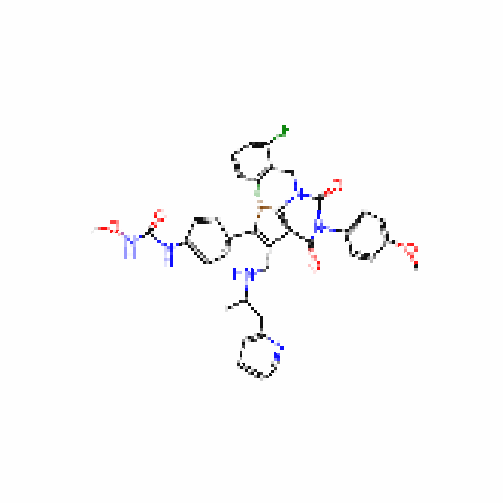 CONC(=O)Nc1ccc(-c2sc3c(c2CNC(C)Cc2ccccn2)c(=O)n(-c2ccc(OC)cc2)c(=O)n3Cc2c(F)cccc2F)cc1